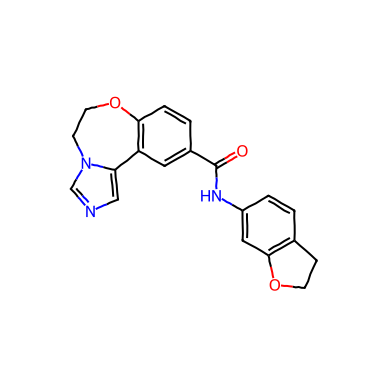 O=C(Nc1ccc2c(c1)OCC2)c1ccc2c(c1)-c1cncn1CCO2